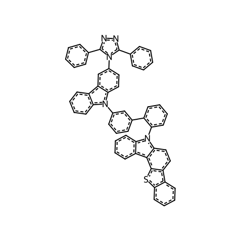 c1ccc(-c2nnc(-c3ccccc3)n2-c2ccc3c(c2)c2ccccc2n3-c2cccc(-c3ccccc3-n3c4ccccc4c4c5sc6ccccc6c5ccc43)c2)cc1